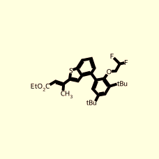 CCOC(=O)/C=C(\C)c1cc2c(-c3cc(C(C)(C)C)cc(C(C)(C)C)c3OCC(F)F)cccc2s1